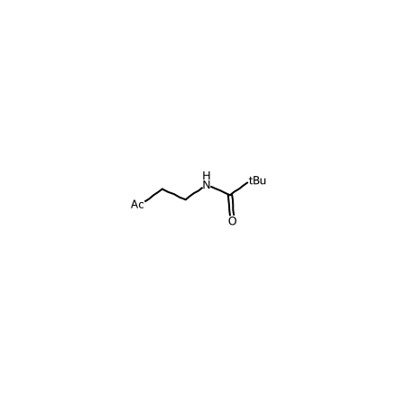 CC(=O)CCNC(=O)C(C)(C)C